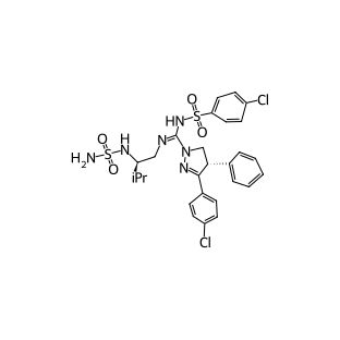 CC(C)[C@H](C/N=C(/NS(=O)(=O)c1ccc(Cl)cc1)N1C[C@H](c2ccccc2)C(c2ccc(Cl)cc2)=N1)NS(N)(=O)=O